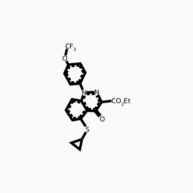 CCOC(=O)c1nn(-c2ccc(OC(F)(F)F)cc2)c2cccc(SC3CC3)c2c1=O